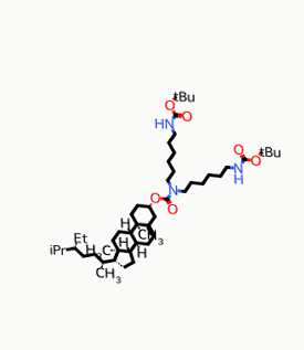 CC[C@H](CC[C@@H](C)[C@H]1CC[C@H]2[C@@H]3CC=C4C[C@@H](OC(=O)N(CCCCCCNC(=O)OC(C)(C)C)CCCCCCNC(=O)OC(C)(C)C)CC[C@]4(C)[C@H]3CC[C@]12C)C(C)C